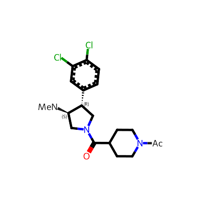 CN[C@@H]1CN(C(=O)C2CCN(C(C)=O)CC2)C[C@H]1c1ccc(Cl)c(Cl)c1